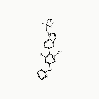 [O-][n+]1cc(Oc2ccccn2)cc(F)c1-c1cc2ccn(CC(F)(F)C(F)(F)F)c2cn1